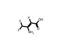 N/C(=C(/F)C(=O)O)C(F)F